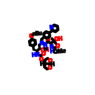 CCCCOc1ccc(C[C@H](NC(=O)O[C@H]2CO[C@H]3OCC[C@H]32)[C@@H](O)CN(Cc2ccc(-c3ccccn3)cc2)NC(=O)[C@@H](NC(=O)OC)C(C)(C)O)cc1